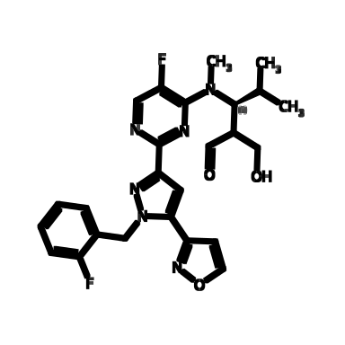 CC(C)[C@@H](C(C=O)CO)N(C)c1nc(-c2cc(-c3ccon3)n(Cc3ccccc3F)n2)ncc1F